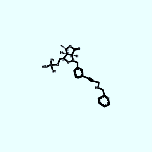 CCCC[Si](OC[C@@H]1ON(Cc2cccc(C#CCNCc3ccccn3)c2)[C@@H]2C(=O)O[C@@H](C)[C@H]12)(C(C)C)C(C)C